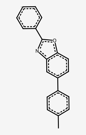 Cc1ccc(-c2ccc3oc(-c4cc[c]cc4)nc3c2)cc1